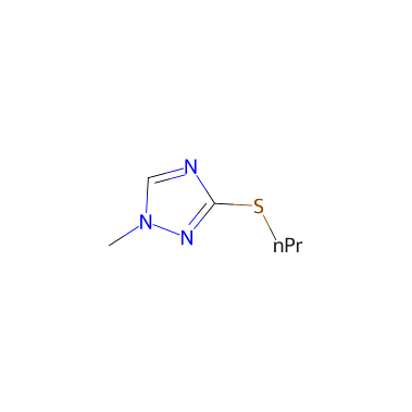 CCCSc1ncn(C)n1